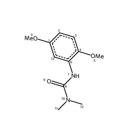 COc1ccc(OC)c(NC(=O)N(C)C)c1